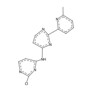 Cc1cccc(-c2nccc(Nc3ccnc(Cl)n3)n2)n1